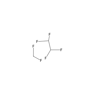 FC(F)C(F)F.FCF